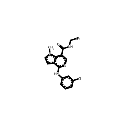 CC(C)CNC(=O)c1cnc(Nc2cccc(Cl)c2)c2ccn(C)c12